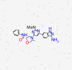 CNc1nc(-c2ccc3c(N)n[nH]c3c2)cc(N2C[C@@H](C(=O)Nc3ccccc3)OCC2C)n1